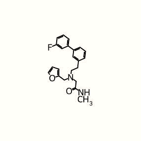 CNC(=O)CN(CCc1cccc(-c2cccc(F)c2)c1)Cc1ccco1